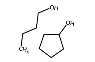 CCCCO.OC1CCCC1